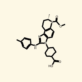 COC(=O)N1c2ccc3c(nc(Nc4ccc(C)cc4)n3C3CCC(C(=O)O)CC3)c2CC[C@@H]1C